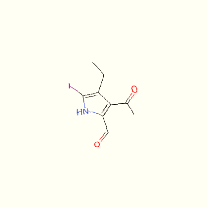 CCc1c(I)[nH]c(C=O)c1C(C)=O